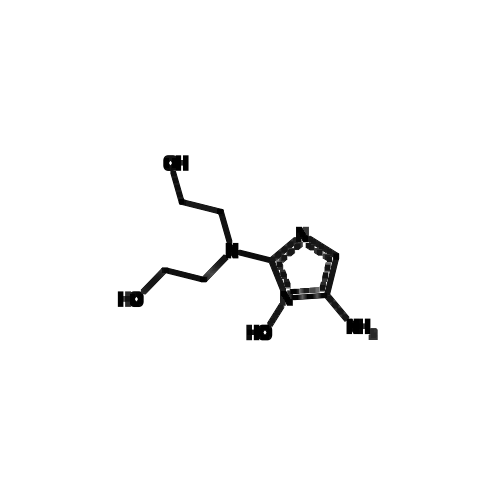 Nc1cnc(N(CCO)CCO)n1O